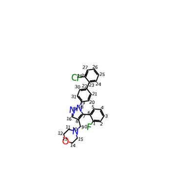 Fc1ccccc1-c1c(CN2CCOCC2)cnn1-c1ccc(-c2ccccc2Cl)cc1